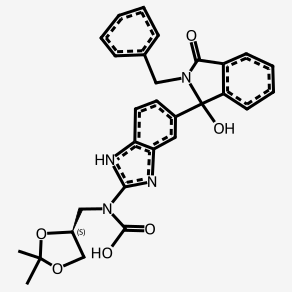 CC1(C)OC[C@H](CN(C(=O)O)c2nc3cc(C4(O)c5ccccc5C(=O)N4Cc4ccccc4)ccc3[nH]2)O1